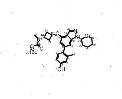 Cc1cc(O)ccc1-c1cc(O[C@H]2C[C@@H](N(C)C(=O)OC(C)(C)C)C2)c2cnn(C3CCCCO3)c2c1